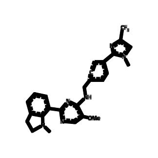 COc1cnc(-c2cccc3c2N(C)CC3)nc1NCc1ccc(-c2nc(C(F)(F)F)cn2C)cc1